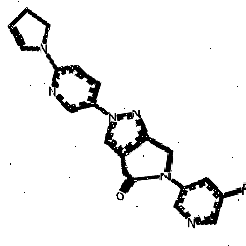 O=C1c2cn(-c3ccc(N4C=CCC4)nc3)nc2CN1c1cncc(F)c1